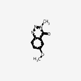 COc1ccc2nnn(C)c(=O)c2c1